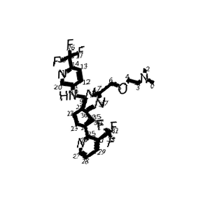 CN(C)CCOCc1nc(Nc2ccc(C(F)(F)F)nc2)c2ccc(-c3ncccc3C(F)(F)F)cc2n1